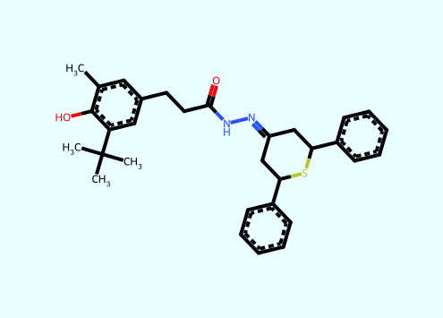 Cc1cc(CCC(=O)NN=C2CC(c3ccccc3)SC(c3ccccc3)C2)cc(C(C)(C)C)c1O